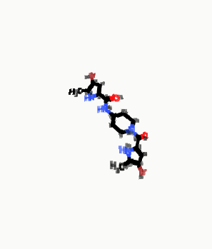 Cc1[nH]c(C(=O)NC2CCN(C(=O)c3cc(Br)c(C)[nH]3)CC2)cc1Br